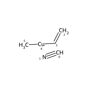 C#N.C=[CH][Cu][CH3]